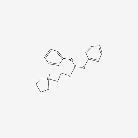 C[N+]1(CCOP(Oc2ccccc2)Oc2ccccc2)CCCC1